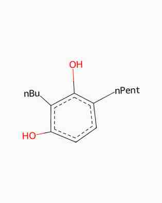 CCCCCc1ccc(O)c(CCCC)c1O